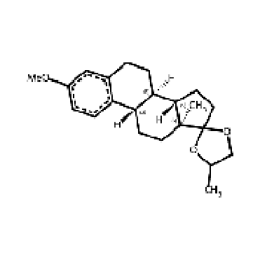 COc1ccc2c(c1)CC[C@@H]1[C@@H]2CC[C@@]2(C)[C@H]1CCC21OCC(C)O1